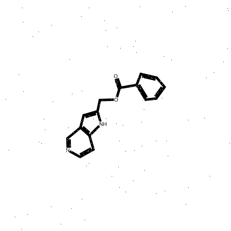 O=C(OCc1cc2cnccc2[nH]1)c1ccccc1